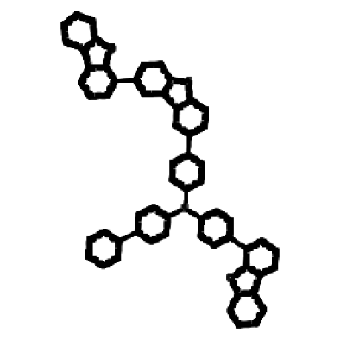 c1ccc(-c2ccc(N(c3ccc(-c4ccc5sc6ccc(-c7cccc8c7oc7ccccc78)cc6c5c4)cc3)c3ccc(-c4cccc5c4oc4ccccc45)cc3)cc2)cc1